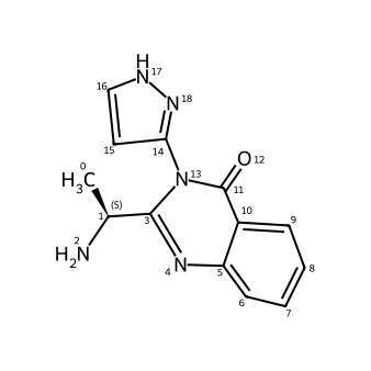 C[C@H](N)c1nc2ccccc2c(=O)n1-c1cc[nH]n1